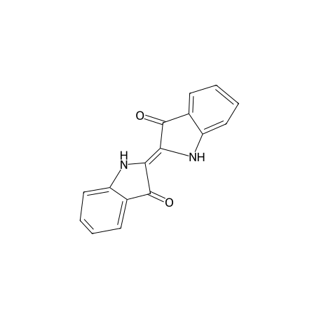 O=C1/C(=C2\Nc3ccccc3C2=O)Nc2ccccc21